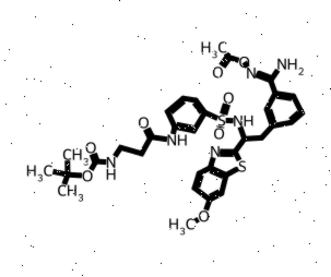 COc1ccc2nc(C(Cc3cccc(C(N)=NOC(C)=O)c3)NS(=O)(=O)c3cccc(NC(=O)CCNC(=O)OC(C)(C)C)c3)sc2c1